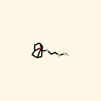 COCCOC12CC3CC(CC(C3)C1)C2